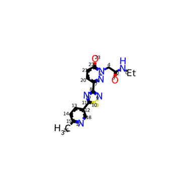 CCNC(=O)Cn1nc(-c2nsc(-c3ccc(C)nc3)n2)ccc1=O